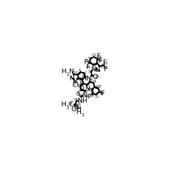 Cn1nc(N)c2cccc(-c3cc4sc(NCC(C)(C)O)nc4nc3C(Cc3cc(F)cc(F)c3)NC(=O)Cn3nc(C(F)F)c4c3C(F)(F)CCC4(F)F)c21